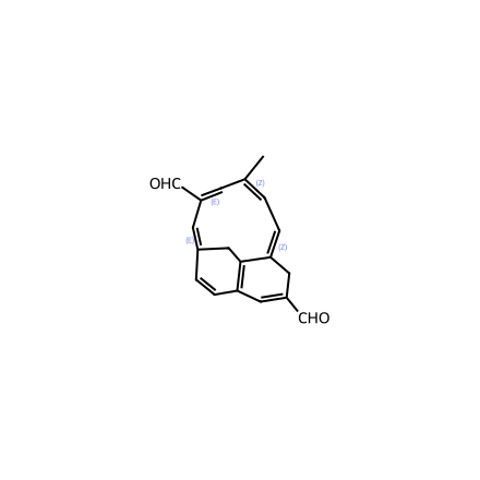 CC1=C/C=C2/CC(C=O)=CC3=C2C\C(=C/C(C=O)=C\1)C=C3